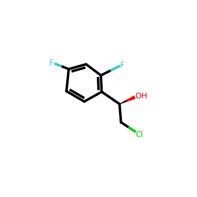 O[C@@H](CCl)c1ccc(F)cc1F